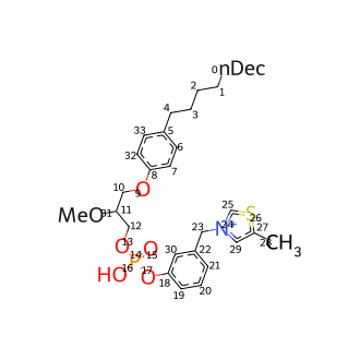 CCCCCCCCCCCCCCc1ccc(OCC(COP(=O)(O)Oc2cccc(C[n+]3csc(C)c3)c2)OC)cc1